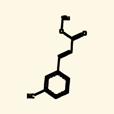 CC(C)(C)OC(=O)C=Cc1cccc(C#N)c1